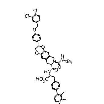 Cc1nccc(-c2ccc(CC(NC(=O)[C@@H]3Cc4cc5c(cc4CN3C(=O)NC(C)(C)C)O[C@@H](c3ccc(OCc4ccc(Cl)c(Cl)c4)cc3)CO5)C(=O)O)cc2)c1C